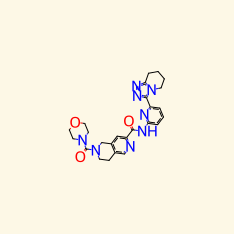 O=C(Nc1cccc(-c2nnc3n2CCCC3)n1)c1cc2c(cn1)CCN(C(=O)N1CCOCC1)C2